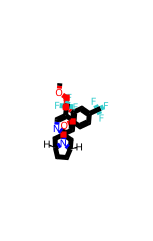 COCOc1cc(C(F)(F)F)ccc1OC1C[C@H]2CC[C@@H](C1)N2c1ccc(C(F)(F)F)cn1